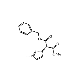 COC(=O)[C@H](C(=O)OCc1ccccc1)n1cc[n+](C)c1